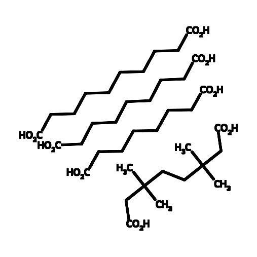 CC(C)(CCC(C)(C)CC(=O)O)CC(=O)O.O=C(O)CCCCCCC(=O)O.O=C(O)CCCCCCCC(=O)O.O=C(O)CCCCCCCCC(=O)O